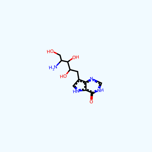 NC(CO)C(O)C(O)Cc1c[nH]c2c(=O)[nH]cnc12